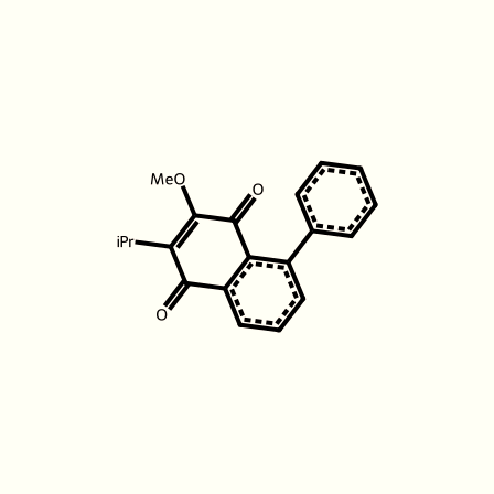 COC1=C(C(C)C)C(=O)c2cccc(-c3ccccc3)c2C1=O